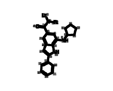 CCN(CC)C(=O)c1cc(NC2CCCC2)c2[nH]c(-c3ccccc3)cc2c1